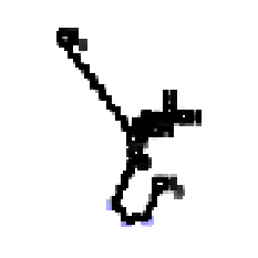 CCCCC/C=C\C/C=C\C/C=C\CCCCCCC(=O)OC[C@H](COP(=O)(O)OC[C@@H](O)CO)OC(=O)CCCCCCCCCCCCCCCCCC